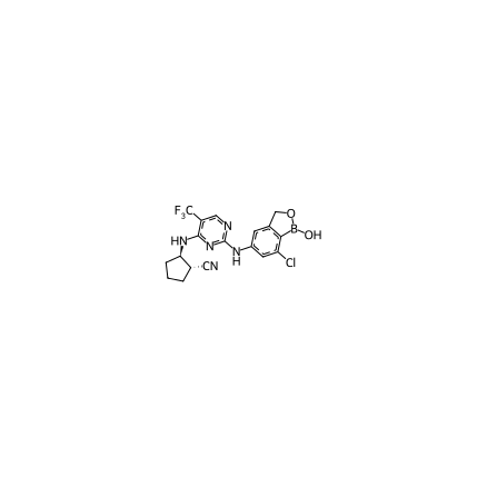 N#C[C@@H]1CCC[C@H]1Nc1nc(Nc2cc(Cl)c3c(c2)COB3O)ncc1C(F)(F)F